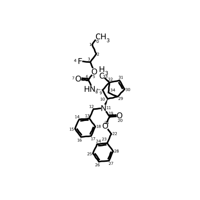 CCCC(F)OC(=O)N[C@H]1[C@H](N(Cc2ccccc2)C(=O)OCc2ccccc2)C2C=CC1(C)C2